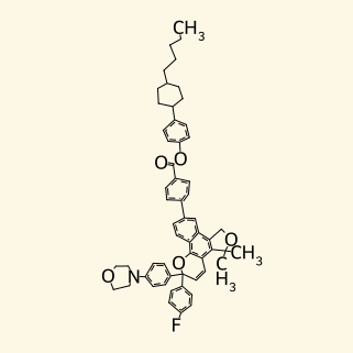 CCCCCC1CCC(c2ccc(OC(=O)c3ccc(-c4ccc5c6c(c7c(c5c4)COC7(C)C)C=CC(c4ccc(F)cc4)(c4ccc(N5CCOCC5)cc4)O6)cc3)cc2)CC1